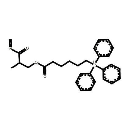 C=NC(=O)C(C)COC(=O)CCCCC[PH](c1ccccc1)(c1ccccc1)c1ccccc1